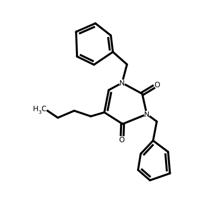 CCCCc1cn(Cc2ccccc2)c(=O)n(Cc2ccccc2)c1=O